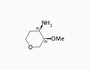 CO[C@H]1COCC[C@H]1N